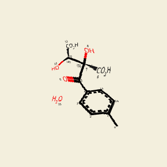 Cc1ccc(C(=O)[C@](O)(C(=O)O)[C@@H](O)C(=O)O)cc1.O